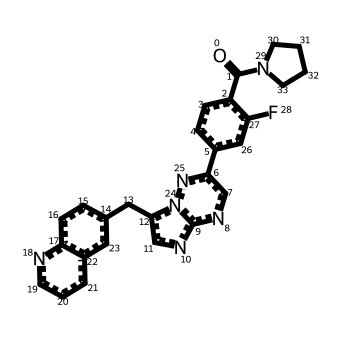 O=C(c1ccc(-c2cnc3ncc(Cc4ccc5ncccc5c4)n3n2)cc1F)N1CCCC1